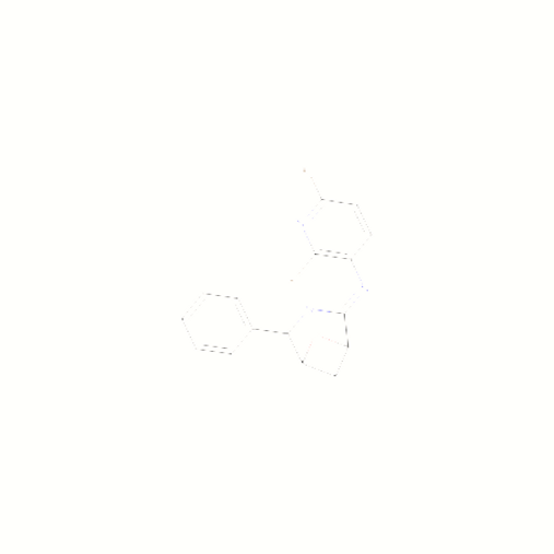 Brc1ccc(/N=C2\NC(c3ccccc3)C3CC2O3)c(Br)n1